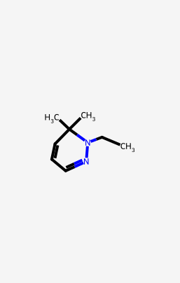 CCN1N=CC=CC1(C)C